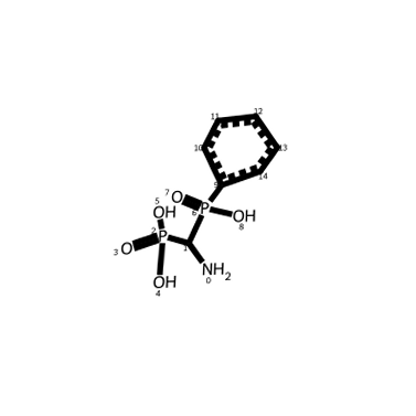 NC(P(=O)(O)O)P(=O)(O)c1ccccc1